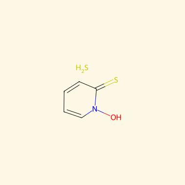 On1ccccc1=S.S